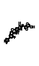 Cn1cc(-c2cc(F)c3c(c2)CCC3Nc2nc3nc(O[C@@H]4COC5C4OC[C@H]5O)[nH]c3cc2Cl)cn1